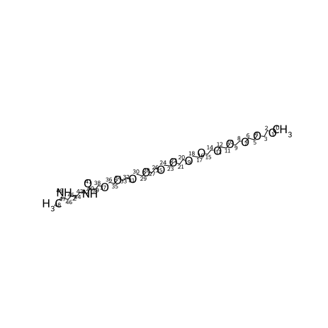 COCCOCCOCCOCCOCCOCCOCCOCCOCCOCCOCCOCCOCCC(=O)NCCCC[C@@H](C)N